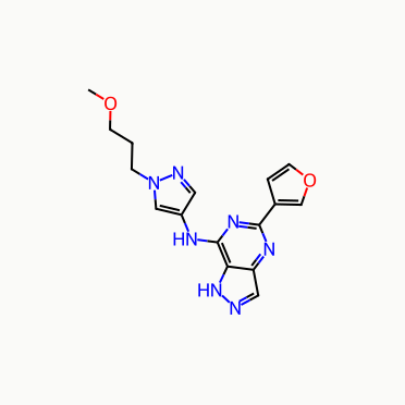 COCCCn1cc(Nc2nc(-c3ccoc3)nc3cn[nH]c23)cn1